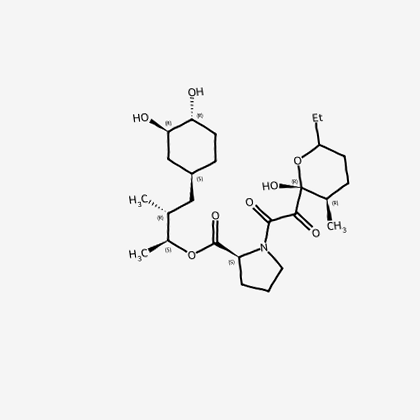 CCC1CC[C@@H](C)[C@](O)(C(=O)C(=O)N2CCC[C@H]2C(=O)O[C@@H](C)[C@H](C)C[C@@H]2CC[C@@H](O)[C@H](O)C2)O1